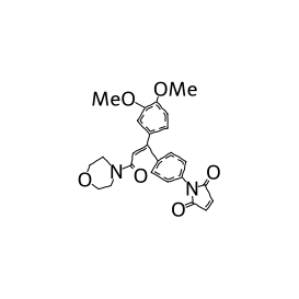 COc1ccc(C(=CC(=O)N2CCOCC2)c2ccc(N3C(=O)C=CC3=O)cc2)cc1OC